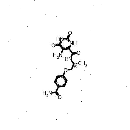 C[C@H](COc1ccc(C(N)=O)cc1)NC(=O)c1[nH]c(=O)[nH]c(=O)c1N